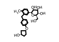 Cc1ccc([C@@H]2O[C@H](CO)[C@@H](O)[C@H](O)[C@H]2O)cc1Cc1ccc(O[C@@H]2CC[C@H](O)C2)cc1